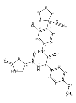 COc1ccc(C(NC(=O)C2CNC(=O)C2)C(=O)Nc2ccc(C3(C#N)CCCC3)c(Cl)c2)cc1